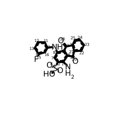 Nc1c(S(=O)(=O)O)cc(Nc2cccc(F)c2)c2c1C(=O)c1ccccc1C2=O